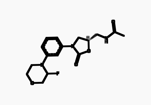 CC(=O)NC[C@H]1CN(c2cccc(N3CCOCC3F)c2)C(=O)O1